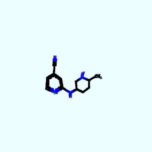 CC1CCC(Nc2cc(C#N)ccn2)CN1